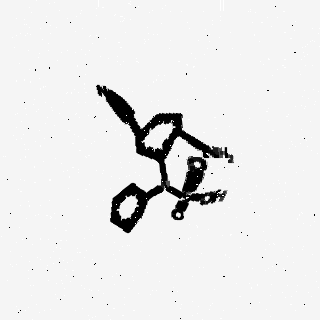 N#Cc1ccc(N)c(N(c2ccccc2)S(=O)(=O)O)c1